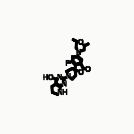 CC1CN(c2cc(F)c3c(c2)C(=O)OC32CCN(c3nc(O)c4c(n3)NCCC4)CC2)CC(C)O1